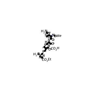 CCOC(=O)c1nc(SCC2=C(OC(=O)O)N3C(=O)[C@@H](NC(=O)/C(=N\OC)c4csc(N)n4)[C@H]3SC2)n(C)n1